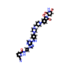 N#Cc1cccc(C(=O)NC2CC(n3cnc4c(Nc5ccc(N6CCN(CC7CCN(c8ccc9c(c8)C(=O)N([C@H]8CCC(=O)NC8=O)C9=O)CC7)CC6)cc5)ncnc43)C2)n1